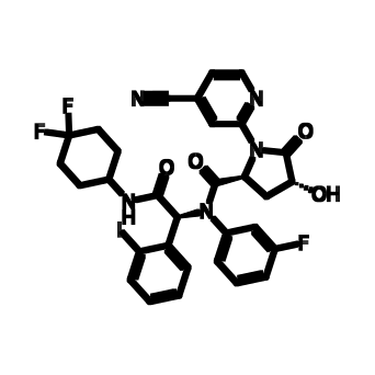 N#Cc1ccnc(N2C(=O)[C@H](O)C[C@H]2C(=O)N(c2cccc(F)c2)[C@H](C(=O)NC2CCC(F)(F)CC2)c2ccccc2I)c1